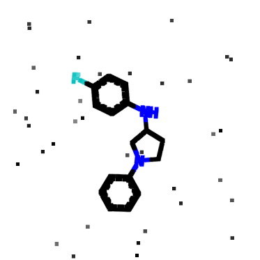 Fc1ccc(NC2CCN(c3ccccc3)C2)cc1